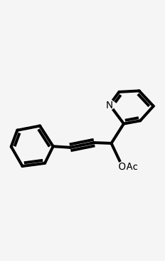 CC(=O)OC(C#Cc1ccccc1)c1ccccn1